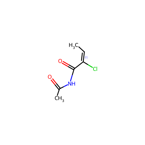 C/C=C(/Cl)C(=O)NC(C)=O